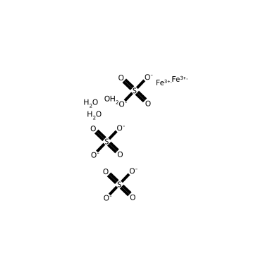 O.O.O.O=S(=O)([O-])[O-].O=S(=O)([O-])[O-].O=S(=O)([O-])[O-].[Fe+3].[Fe+3]